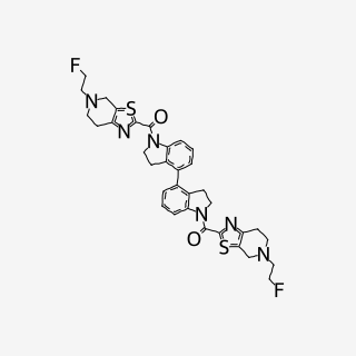 O=C(c1nc2c(s1)CN(CCF)CC2)N1CCc2c(-c3cccc4c3CCN4C(=O)c3nc4c(s3)CN(CCF)CC4)cccc21